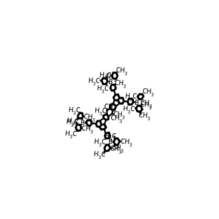 Cc1cc(C)c(B(c2ccc(-c3cc4c5c(cc(-c6ccc(B(c7c(C)cc(C)cc7C)c7c(C)cc(C)cc7C)cc6)cc5c3)-c3cc5c(cc3-4)C(C)(C)c3cc4c(cc3C5(C)C)-c3cc(-c5ccc(B(c6c(C)cc(C)cc6C)c6c(C)cc(C)cc6C)cc5)cc5cc(-c6ccc(B(c7c(C)cc(C)cc7C)c7c(C)cc(C)cc7C)cc6)cc-4c35)cc2)c2c(C)cc(C)cc2C)c(C)c1